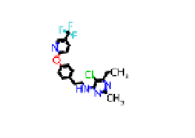 CCc1nc(C)nc(NCCc2ccc(Oc3ccc(C(F)(F)F)cn3)cc2)c1Cl